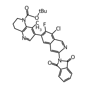 Cc1c(-c2cc3cc(N4C(=O)c5ccccc5C4=O)ncc3c(Cl)c2F)cnc2c1N(C(=O)OC(C)(C)C)CCC2